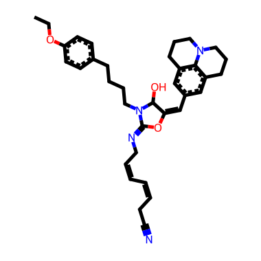 CCOc1ccc(CCCCN2/C(=N/C/C=C\C=C/CC#N)O/C(=C/c3cc4c5c(c3)CCCN5CCC4)C2O)cc1